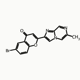 Cc1cn2cc(-c3cc(=O)c4cc(Br)ccc4o3)nc2cn1